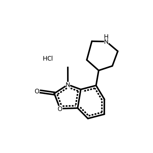 Cl.Cn1c(=O)oc2cccc(C3CCNCC3)c21